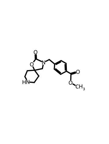 COC(=O)c1ccc(CN2CC3(CCNCC3)OC2=O)cc1